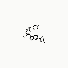 Cc1noc(-c2ccc3c(-c4nc(N[C@H]5CCCNC5)ncc4C(F)(F)F)c[nH]c3c2)n1